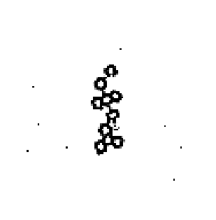 c1ccc(-c2cccc(-c3c4ccccc4c(-c4ccc5sc6c(ccc7c8ccccc8c8ccccc8c76)c5c4)c4ccccc34)c2)cc1